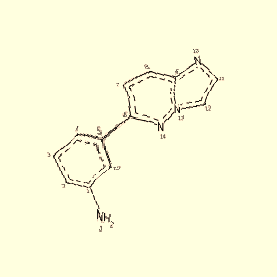 Nc1cccc(-c2ccc3nccn3n2)c1